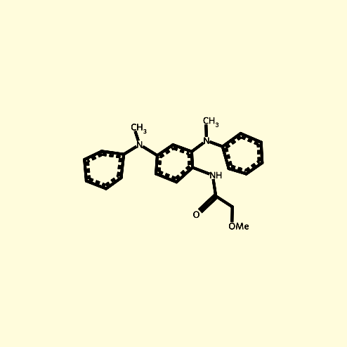 COCC(=O)Nc1ccc(N(C)c2ccccc2)cc1N(C)c1ccccc1